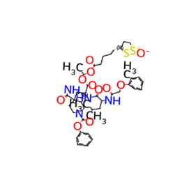 Cc1ccccc1OCC(=O)NC(CC(C)C)C(=O)N[C@@H](CC1(C(N)=O)CCN(C(=O)Oc2ccccc2)CC1)C(=O)OC(C)OC(=O)CCCC[C@@H]1CC[S+]([O-])S1